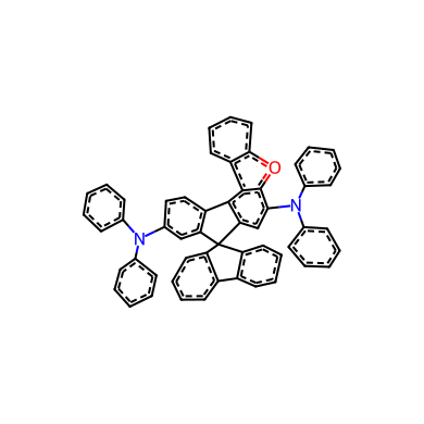 c1ccc(N(c2ccccc2)c2ccc3c(c2)C2(c4ccccc4-c4ccccc42)c2cc(N(c4ccccc4)c4ccccc4)c4oc5ccccc5c4c2-3)cc1